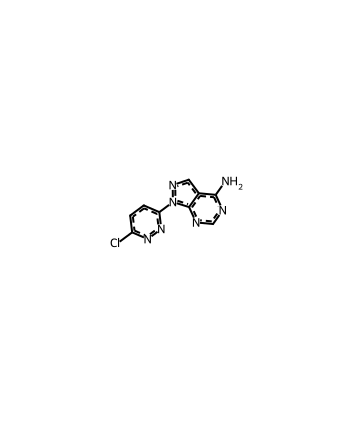 Nc1ncnc2c1cnn2-c1ccc(Cl)nn1